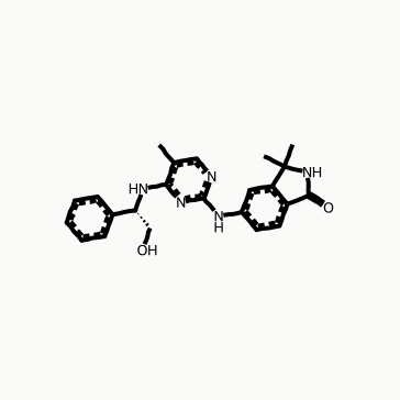 Cc1cnc(Nc2ccc3c(c2)C(C)(C)NC3=O)nc1N[C@H](CO)c1ccccc1